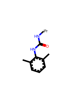 Cc1cccc(C)c1NC(=O)NC(C)C